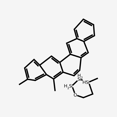 C[SiH]1CCO[SiH2][SiH2]1.Cc1ccc2cc3c(ccc4cc5ccccc5cc43)c(C)c2c1